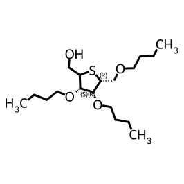 CCCCOC[C@H]1SC(CO)[C@@H](OCCCC)[C@H]1OCCCC